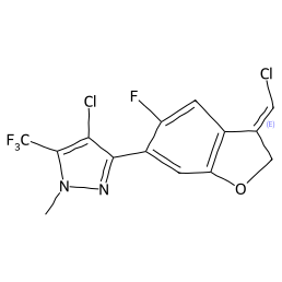 Cn1nc(-c2cc3c(cc2F)/C(=C\Cl)CO3)c(Cl)c1C(F)(F)F